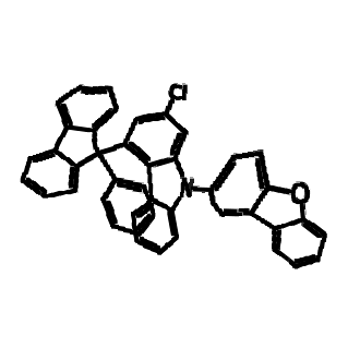 Clc1cc(C2(c3ccccc3)c3ccccc3-c3ccccc32)c2c3ccccc3n(-c3ccc4oc5ccccc5c4c3)c2c1